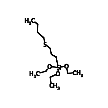 CCCCSCCC[Si](OCC)(OCC)OCC